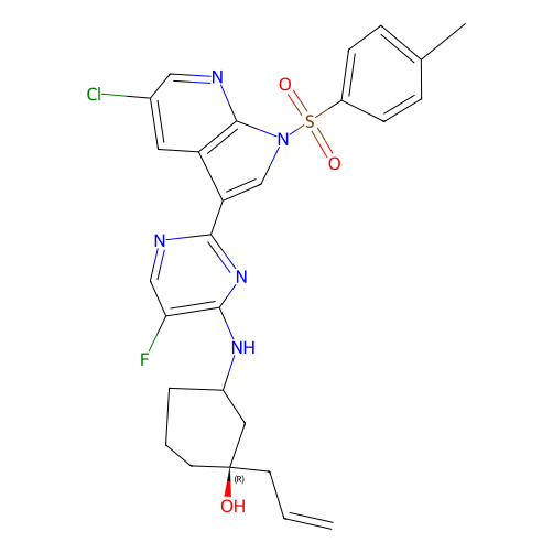 C=CC[C@]1(O)CCCC(Nc2nc(-c3cn(S(=O)(=O)c4ccc(C)cc4)c4ncc(Cl)cc34)ncc2F)C1